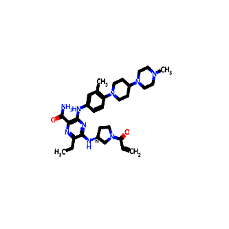 C=CC(=O)N1CC[C@H](Nc2nc(Nc3ccc(N4CCC(N5CCN(C)CC5)CC4)c(C)c3)c(C(N)=O)nc2CC)C1